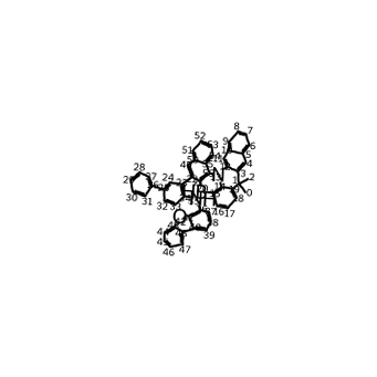 CC1(C)c2cc3ccccc3cc2N2c3c(cccc31)Bc1c(-c3cc(-c4ccccc4)ccc3Nc3cccc4c3oc3ccccc34)cc3ccccc3c12